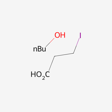 CCCCO.O=C(O)CCI